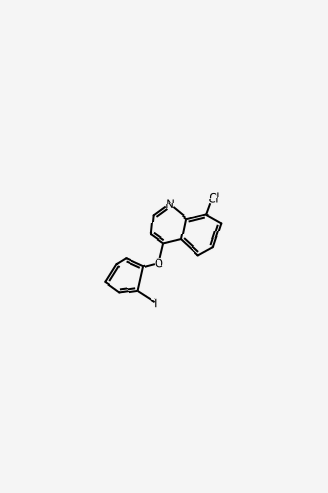 Clc1cccc2c(Oc3ccccc3I)ccnc12